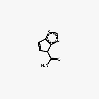 NC(=O)C1C=Cc2scnc21